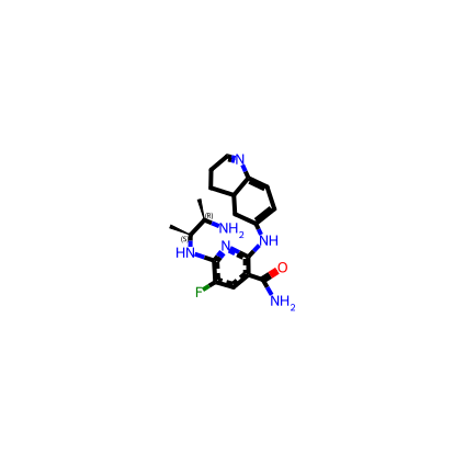 C[C@H](Nc1nc(NC2=CC=C3N=CCCC3C2)c(C(N)=O)cc1F)[C@@H](C)N